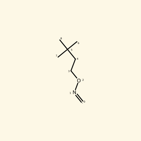 [CH]=NOCCC(C)(C)C